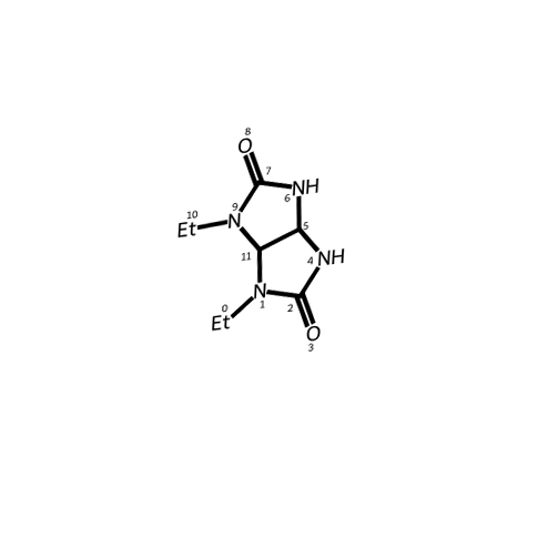 CCN1C(=O)NC2NC(=O)N(CC)C21